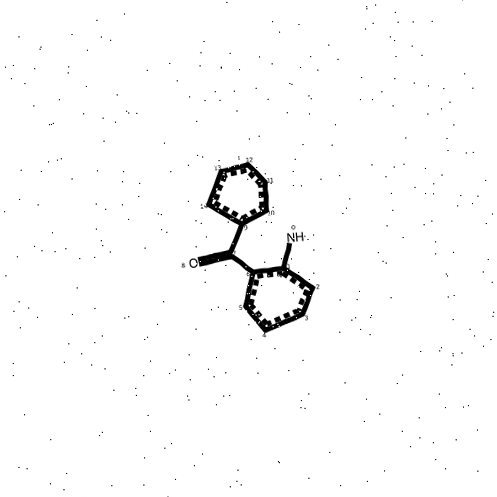 [NH]c1ccccc1C(=O)c1ccccc1